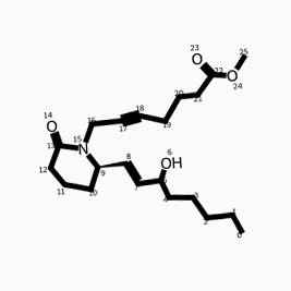 CCCCCC(O)C=C[C@H]1CCCC(=O)N1CC#CCCCC(=O)OC